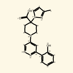 Cc1ccn(C2(C(=O)O)CCN(c3cnnc(-c4ccccc4O)c3)CC2)n1